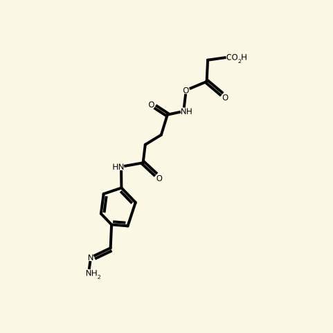 NN=Cc1ccc(NC(=O)CCC(=O)NOC(=O)CC(=O)O)cc1